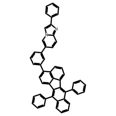 c1ccc(-c2cn3cc(-c4cccc(-c5ccc6c7c(cccc57)-c5c-6c(-c6ccccc6)c6ccccc6c5-c5ccccc5)c4)ccc3n2)cc1